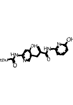 C=C(Cc1cnc(NC(=O)C(C)(C)C)cc1O)C(=O)Nc1cccc(O)n1